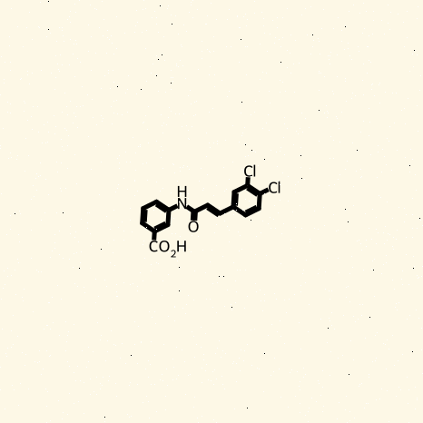 O=C(C=Cc1ccc(Cl)c(Cl)c1)Nc1cccc(C(=O)O)c1